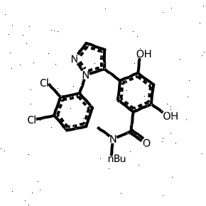 CCCCN(C)C(=O)c1cc(-c2ccnn2-c2cccc(Cl)c2Cl)c(O)cc1O